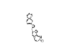 O=c1ccn2c(n1)O[C@H](COc1ccc3ccsc3c1)C2